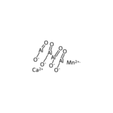 [Ca+2].[Mn+2].[O]=[Al][O-].[O]=[Al][O-].[O]=[Al][O-].[O]=[Al][O-]